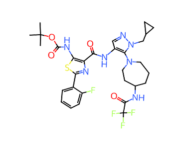 CC(C)(C)OC(=O)Nc1sc(-c2ccccc2F)nc1C(=O)Nc1cnn(CC2CC2)c1N1CCCC(NC(=O)C(F)(F)F)CC1